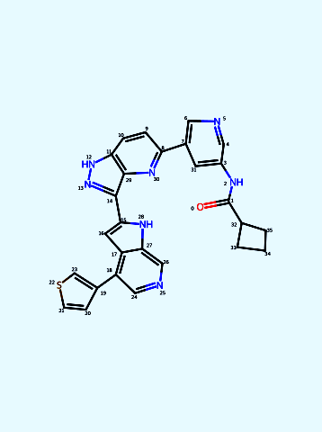 O=C(Nc1cncc(-c2ccc3[nH]nc(-c4cc5c(-c6ccsc6)cncc5[nH]4)c3n2)c1)C1CCC1